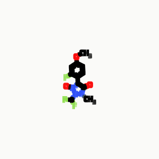 COc1ccc(C2C(=O)N(C)N(C(F)F)[N+]2=O)c(F)c1